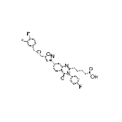 O=C(O)CCCCc1nc2cc(-c3cc(COCc4ccc(F)c(F)c4)on3)ccc2c(=O)n1-c1ccc(F)cc1